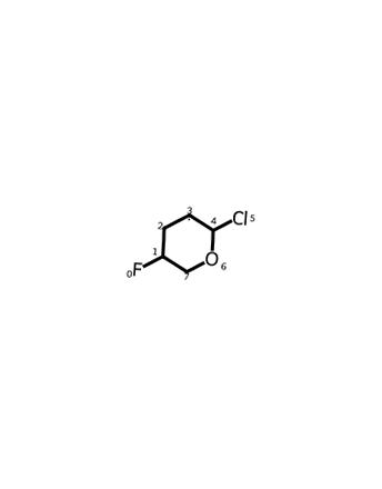 FC1C[CH]C(Cl)OC1